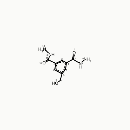 NNC(=O)c1cc(CO)cc(C(=O)NN)c1